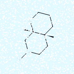 CCN1CC[C@H]2CCCN[C@H]2C1